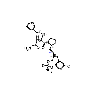 C[C@@H](OCc1ccccc1)[C@H](NC(=O)CN)C(=O)N1CCC[C@H]1/C=C/[C@](C)(COS(N)(=O)=O)Cc1cccc(Cl)c1